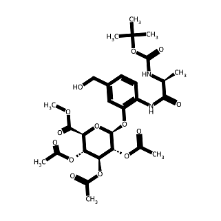 COC(=O)[C@H]1O[C@@H](Oc2cc(CO)ccc2NC(=O)[C@H](C)NC(=O)OC(C)(C)C)[C@H](OC(C)=O)[C@@H](OC(C)=O)[C@@H]1OC(C)=O